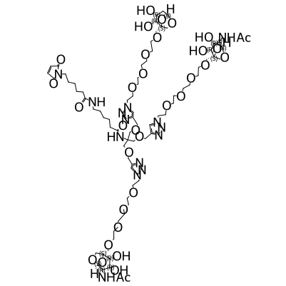 CC(=O)N[C@H]1[C@H]2OC[C@](COCCOCCOCCOCCn3cc(COCC(COCc4cn(CCOCCOCCOCCOC[C@@]56CO[C@@H](O5)[C@H](NC(C)=O)[C@@H](O)[C@H]6O)nn4)(COCc4cn(CCOCCOCCOCCOC[C@]56CO[C@H](C[C@@H](O)[C@H]5O)O6)nn4)NC(=O)CCCCCNC(=O)CCCCCN4C(=O)C=CC4=O)nn3)(O2)[C@H](O)[C@@H]1O